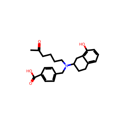 CC(=O)CCCCN(Cc1ccc(C(=O)O)cc1)C1CCc2cccc(O)c2C1